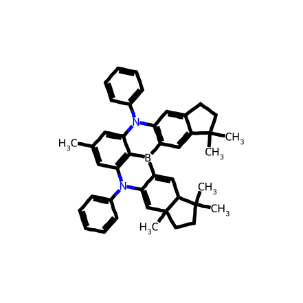 Cc1cc2c3c(c1)N(c1ccccc1)c1cc4c(cc1B3C1=CC3C(C)(C)CCC3(C)C=C1N2c1ccccc1)C(C)(C)CC4